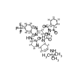 CC(=O)N[C@@H]1C[C@H](NC(C)(C)C)CC[C@@H]1N1CCC(Nc2nc(CCCN3C(=O)c4ccccc4C3=O)nc3ccc(C(F)(F)F)cc23)C1=O